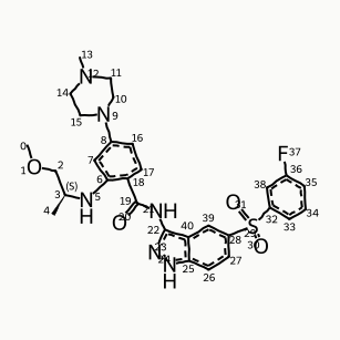 COC[C@H](C)Nc1cc(N2CCN(C)CC2)ccc1C(=O)Nc1n[nH]c2ccc(S(=O)(=O)c3cccc(F)c3)cc12